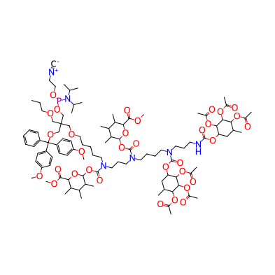 [C-]#[N+]CCOP(OCC(COCCC)(COCCCCCN(CCCN(CCCCN(CCCNC(=O)OC1CC(C)C(OC(C)=O)C(OC(C)=O)C1OC(C)=O)C(=O)OC1CC(C)C(OC(C)=O)C(OC(C)=O)C1OC(C)=O)C(=O)OC1OC(C(=O)OC)C(C)C(C)C1C)C(=O)OC1OC(C(=O)OC)C(C)C(C)C1C)COC(c1ccccc1)(c1ccc(OC)cc1)c1ccc(OC)cc1)N(C(C)C)C(C)C